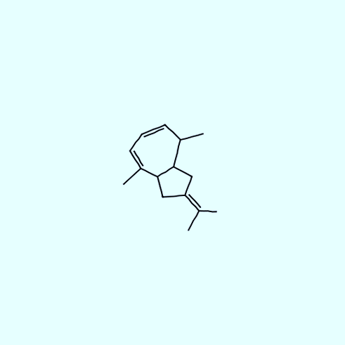 CC1=CC=CC(C)C2CC(=C(C)C)CC12